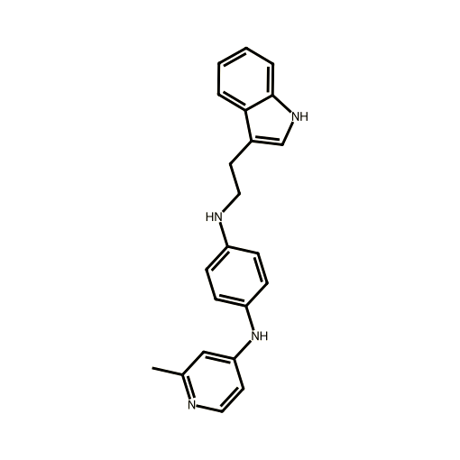 Cc1cc(Nc2ccc(NCCc3c[nH]c4ccccc34)cc2)ccn1